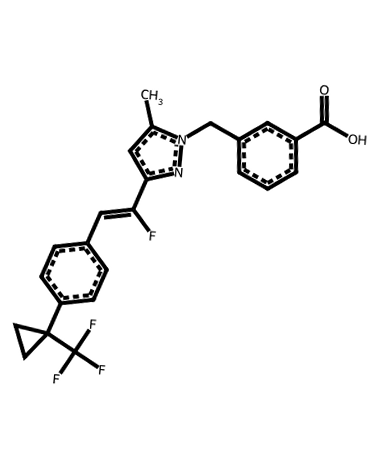 Cc1cc(C(F)=Cc2ccc(C3(C(F)(F)F)CC3)cc2)nn1Cc1cccc(C(=O)O)c1